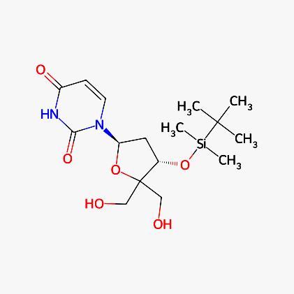 CC(C)(C)[Si](C)(C)O[C@H]1C[C@H](n2ccc(=O)[nH]c2=O)OC1(CO)CO